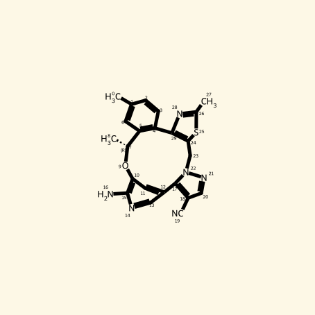 Cc1ccc2c(c1)[C@@H](C)Oc1cc(cnc1N)-c1c(C#N)cnn1Cc1sc(C)nc1-2